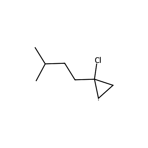 CC(C)CCC1(Cl)[CH]C1